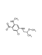 CNc1cc(NCC(C)OC)c(Cl)cc1[N+](=O)[O-]